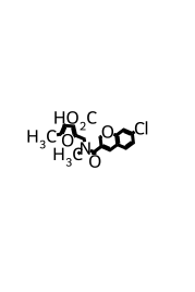 Cc1oc(CN(C)C(=O)C2=Cc3ccc(Cl)cc3OC2)cc1C(=O)O